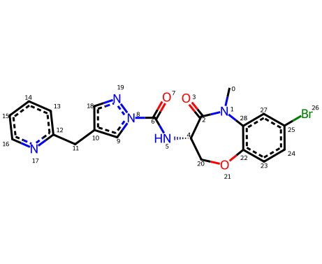 CN1C(=O)[C@@H](NC(=O)n2cc(Cc3ccccn3)cn2)COc2ccc(Br)cc21